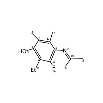 CCc1c(O)c(C)c(C)c(N=C(C)C)c1F